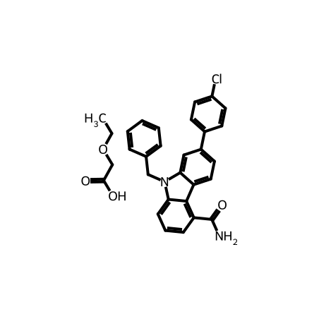 CCOCC(=O)O.NC(=O)c1cccc2c1c1ccc(-c3ccc(Cl)cc3)cc1n2Cc1ccccc1